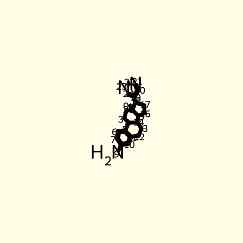 CC12CCC3c4ccc(N)cc4CCC3C1CCC2c1cncnc1